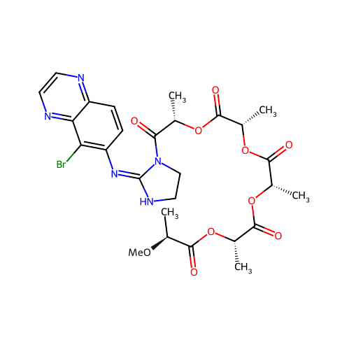 CO[C@@H](C)C(=O)O[C@@H](C)C(=O)O[C@@H](C)C(=O)O[C@@H](C)C(=O)O[C@@H](C)C(=O)N1CCN/C1=N/c1ccc2nccnc2c1Br